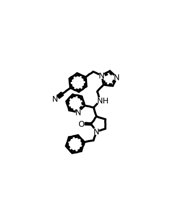 N#Cc1ccc(Cn2cncc2CNC(c2ccccn2)C2CCN(Cc3ccccc3)C2=O)cc1